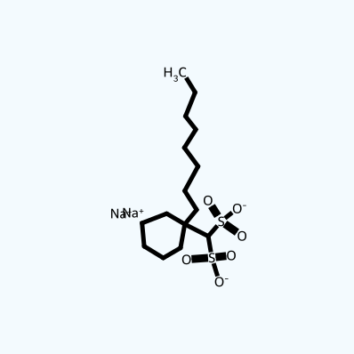 CCCCCCCCC1(C(S(=O)(=O)[O-])S(=O)(=O)[O-])CCCCC1.[Na+].[Na+]